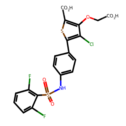 O=C(O)COc1c(C(=O)O)sc(-c2ccc(NS(=O)(=O)c3c(F)cccc3F)cc2)c1Cl